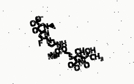 C[C@@H]1C(SCCOC(=O)NC2CCN(c3nc4c(cc3F)c(=O)c(C(=O)[O-])cn4C3CC3)C2)=C(C(=O)[O-])N2C(=O)[C@@H]([C@@H](C)O)[C@H]12.[Na+].[Na+]